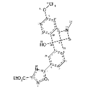 CCOC(=O)c1noc(-c2cccc(C(O)(c3ccc(OC(F)(F)F)cc3)C3(C)CN(C)C3)c2)n1